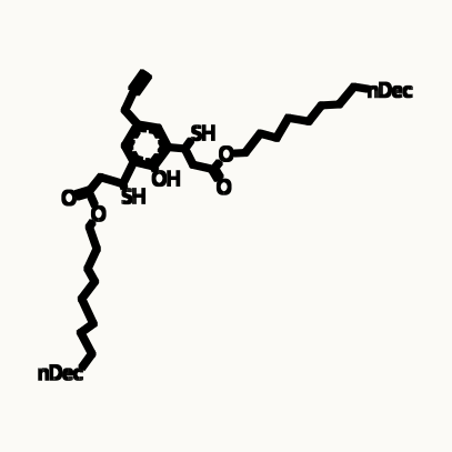 C#CCc1cc(C(S)CC(=O)OCCCCCCCCCCCCCCCCCC)c(O)c(C(S)CC(=O)OCCCCCCCCCCCCCCCCCC)c1